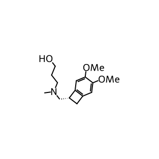 COc1cc2c(cc1OC)[C@@H](CN(C)CCCO)C2